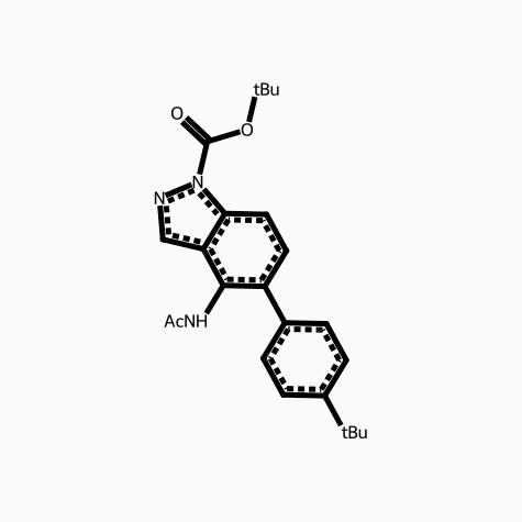 CC(=O)Nc1c(-c2ccc(C(C)(C)C)cc2)ccc2c1cnn2C(=O)OC(C)(C)C